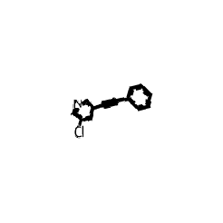 Clc1cncc(C#Cc2ccccc2)c1